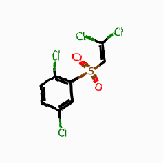 O=S(=O)(C=C(Cl)Cl)c1cc(Cl)ccc1Cl